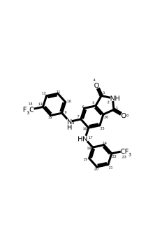 O=C1NC(=O)c2cc(Nc3cccc(C(F)(F)F)c3)c(Nc3cccc(C(F)(F)F)c3)cc21